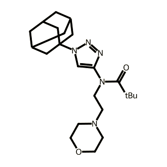 CC(C)(C)C(=O)N(CCN1CCOCC1)c1cn(C23CC4CC(CC(C4)C2)C3)nn1